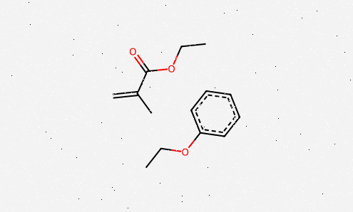 C=C(C)C(=O)OCC.CCOc1ccccc1